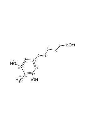 CCCCCCCCCCCCCc1cc(O)c(C)c(O)c1